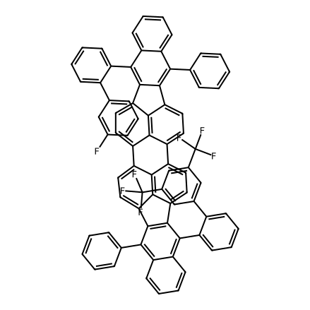 Fc1cccc(-c2ccccc2-c2c3c(c(-c4ccccc4)c4ccccc24)-c2ccc4c5ccc6c7c(ccc(c8ccc-3c2c84)c75)-c2c-6c(-c3ccccc3-c3cc(C(F)(F)F)cc(C(F)(F)F)c3)c3ccccc3c2-c2ccccc2)c1